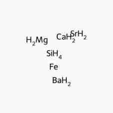 [BaH2].[CaH2].[Fe].[MgH2].[SiH4].[SrH2]